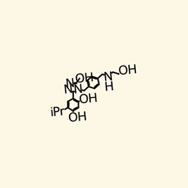 CC(C)c1cc(-c2nnc(O)n2Cc2ccc(CNCCO)cc2)c(O)cc1O